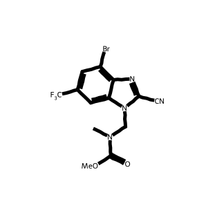 COC(=O)N(C)Cn1c(C#N)nc2c(Br)cc(C(F)(F)F)cc21